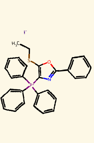 CCSc1oc(-c2ccccc2)nc1[P+](c1ccccc1)(c1ccccc1)c1ccccc1.[I-]